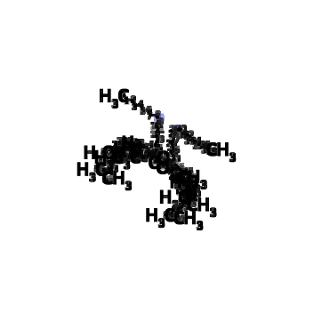 CCCCCCCC/C=C\CCCCCCC(C(=O)OC(=O)C(CCCCCC/C=C\CCCCCCCC)[C@H]1CC[C@@]2(C)C(=CC[C@H]3[C@@H]4CC[C@H]([C@H](C)CCCC(C)C)[C@@]4(C)CC[C@@H]32)C1)[C@H]1CC[C@@]2(C)C(=CC[C@H]3[C@@H]4CC[C@H]([C@H](C)CCCC(C)C)[C@@]4(C)CC[C@@H]32)C1